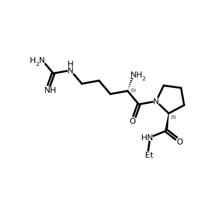 CCNC(=O)[C@@H]1CCCN1C(=O)[C@@H](N)CCCNC(=N)N